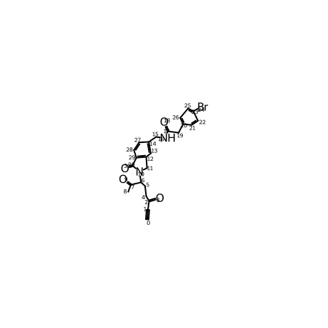 C#CC(=O)CCC(C(C)=O)N1Cc2cc(CNC(=O)Cc3ccc(Br)cc3)ccc2C1=O